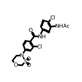 CC(=O)Nc1cc(NC(=O)c2ccc(N3CCOCS3(=O)=O)cc2Cl)ccc1Cl